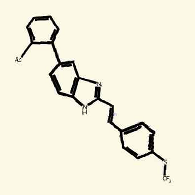 CC(=O)c1ccccc1-c1ccc2[nH]c(/C=C/c3ccc(SC(F)(F)F)cc3)nc2c1